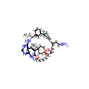 C[C@H]1Nc2ncnc3c2cc(C2(C#N)CCS(=O)(=O)CC2)c(=O)n3CCCCCCCCC(CCN)CCC(F)(F)c2cccc1c2